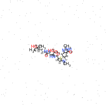 Cc1nc2ccc(CN(C)c3ccc(C(=O)N[C@@H](CCC(=O)NCCC[Si](C)(C)O)C(=O)O)s3)cc2c(=O)[nH]1